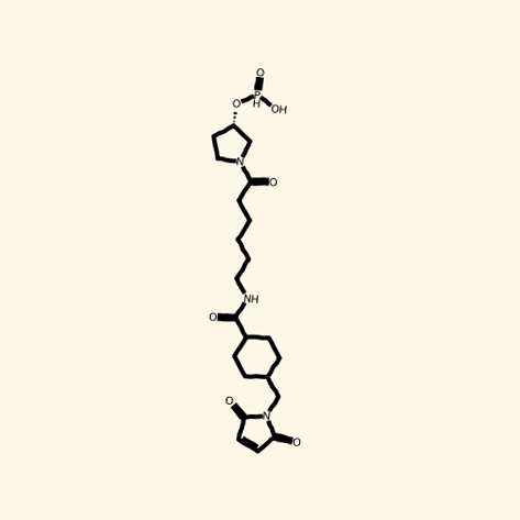 O=C(NCCCCCC(=O)N1CC[C@H](O[PH](=O)O)C1)C1CCC(CN2C(=O)C=CC2=O)CC1